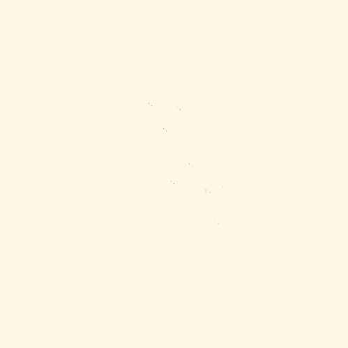 CC(CC(=N)Cc1ccccn1)n1cnc(-c2ccc(F)cc2)c1-c1ccnc(N)n1